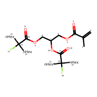 C=C(C)C(=O)OCC(COC(=O)C(F)(CCCCCC)CCCCCC)OC(=O)C(F)(CCCCCC)CCCCCC